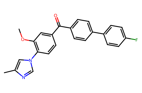 COc1cc(C(=O)c2ccc(-c3ccc(F)cc3)cc2)ccc1-n1cnc(C)c1